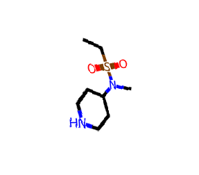 CCS(=O)(=O)N(C)C1CCNCC1